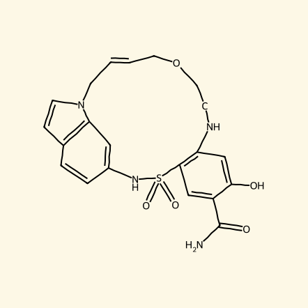 NC(=O)c1cc2c(cc1O)NCCOC/C=C/Cn1ccc3ccc(cc31)NS2(=O)=O